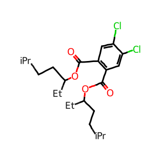 CCC(CCC(C)C)OC(=O)c1cc(Cl)c(Cl)cc1C(=O)OC(CC)CCC(C)C